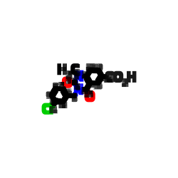 Cn1c(=O)n(Cc2cccc(Cl)c2)c(=O)c2cc(C(=O)O)ccc21